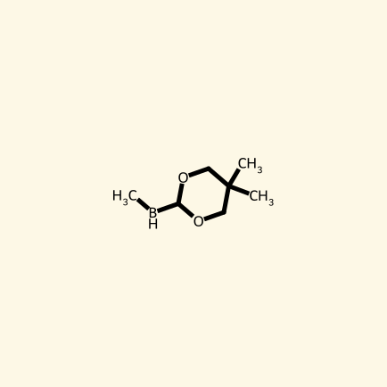 CBC1OCC(C)(C)CO1